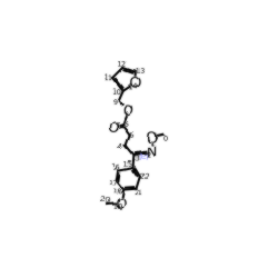 CO/N=C(\CCC(=O)OCc1ccco1)c1ccc(OC)cc1